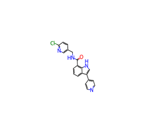 O=C(NCc1ccc(Cl)nc1)c1cccc2c(-c3ccncc3)c[nH]c12